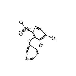 O=[N+]([O-])c1ccc(Cl)c(Cl)c1Oc1ccccc1